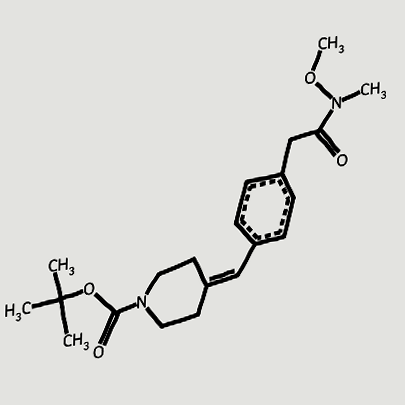 CON(C)C(=O)Cc1ccc(C=C2CCN(C(=O)OC(C)(C)C)CC2)cc1